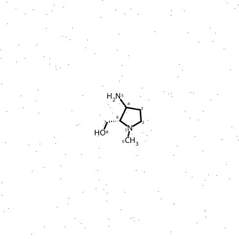 CN1CCC(N)[C@H]1CO